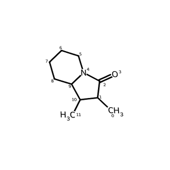 CC1C(=O)N2CCCCC2C1C